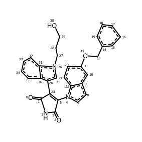 O=C1NC(=O)C(n2ccc3cc(OCc4ccccc4)ccc32)=C1c1cn(CCCO)c2ccccc12